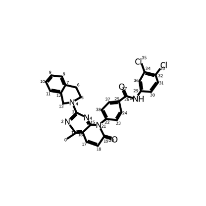 Cc1nc(N2CCc3ccccc3C2)nc2c1ccc(=O)n2-c1ccc(C(=O)Nc2ccc(Cl)c(Cl)c2)cc1